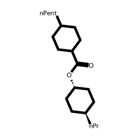 CCCCCC1CCC(C(=O)O[C@H]2CC[C@H](CCC)CC2)CC1